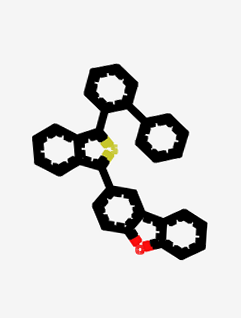 c1ccc(-c2ccccc2-c2sc(-c3ccc4oc5ccccc5c4c3)c3ccccc23)cc1